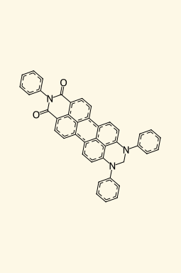 O=C1c2ccc3c4ccc5c6c(ccc(c7ccc(c2c37)C(=O)N1c1ccccc1)c64)N(c1ccccc1)CN5c1ccccc1